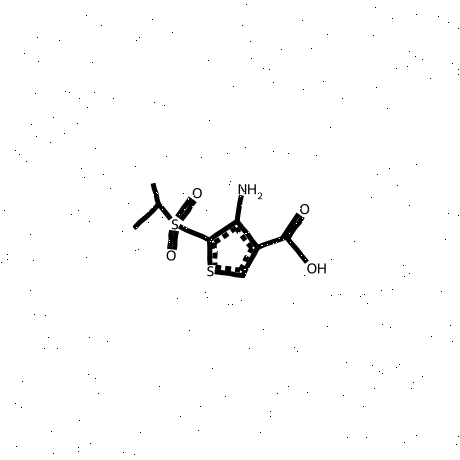 CC(C)S(=O)(=O)c1scc(C(=O)O)c1N